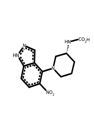 O=C(O)N[C@@H]1CCCN(c2c([N+](=O)[O-])ccc3[nH]ncc23)C1